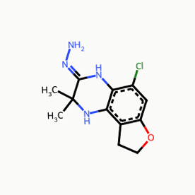 CC1(C)Nc2c3c(cc(Cl)c2N/C1=N\N)OCC3